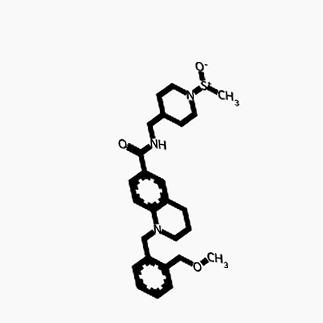 COCc1ccccc1CN1CCCc2cc(C(=O)NCC3CCN([S+](C)[O-])CC3)ccc21